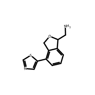 NCC1OCc2c(-c3cncs3)cccc21